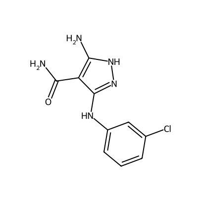 NC(=O)c1c(Nc2cccc(Cl)c2)n[nH]c1N